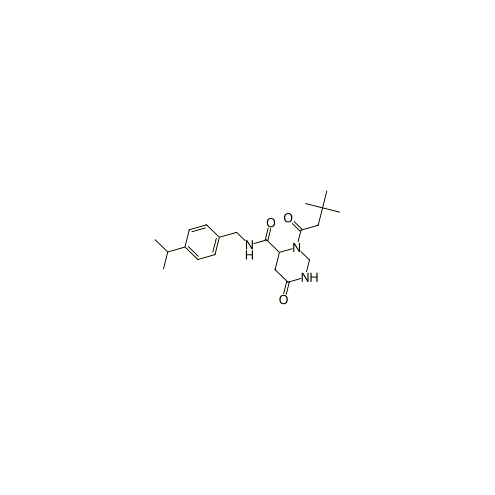 CC(C)c1ccc(CNC(=O)C2CC(=O)NCN2C(=O)CC(C)(C)C)cc1